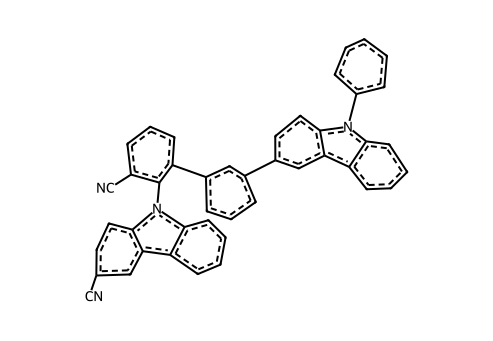 N#Cc1ccc2c(c1)c1ccccc1n2-c1c(C#N)cccc1-c1cccc(-c2ccc3c(c2)c2ccccc2n3-c2ccccc2)c1